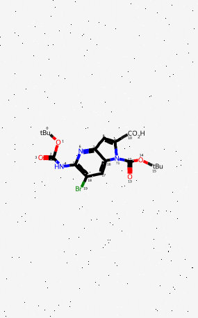 CC(C)(C)OC(=O)Nc1nc2cc(C(=O)O)n(C(=O)OC(C)(C)C)c2cc1Br